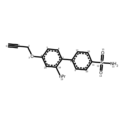 C#CCOc1ccc(-c2ccc(S(N)(=O)=O)cc2)c(CCC)c1